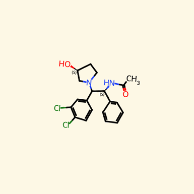 CC(=O)N[C@@H](c1ccccc1)C(c1ccc(Cl)c(Cl)c1)N1CC[C@H](O)C1